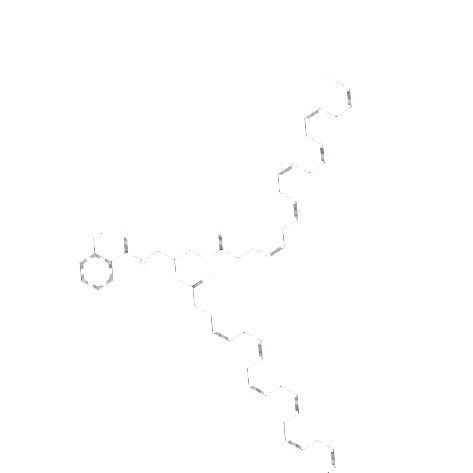 CC/C=C\C/C=C\C/C=C\C/C=C\C/C=C\C/C=C\CCC(=O)OCC(CNC(=O)c1ccccc1OC(C)=O)OC(=O)CC/C=C\C/C=C\C/C=C\C/C=C\C/C=C\C/C=C\CC